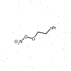 CCCCCOO[N+](=O)[O-]